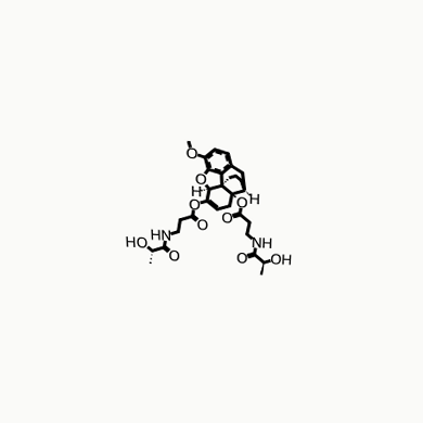 COc1ccc2c3c1O[C@@H]1C(OC(=O)CCNC(=O)[C@H](C)O)=CC[C@]4(OC(=O)CCNC(=O)[C@H](C)O)[C@@H](CCC[C@@]314)C2